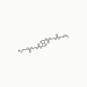 C=CCOC(=O)OCCOC(=O)OC1COC2C(OC(=O)OCCOC(=O)OCC=C)COC12